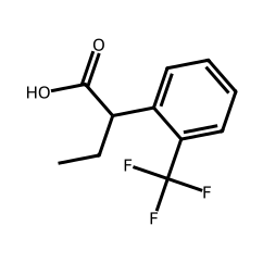 CCC(C(=O)O)c1ccccc1C(F)(F)F